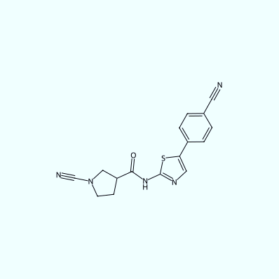 N#Cc1ccc(-c2cnc(NC(=O)C3CCN(C#N)C3)s2)cc1